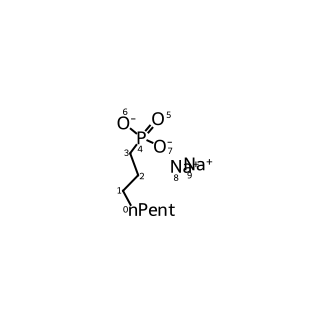 CCCCCCCCP(=O)([O-])[O-].[Na+].[Na+]